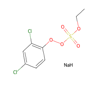 CCOS(=O)(=O)OOc1ccc(Cl)cc1Cl.[NaH]